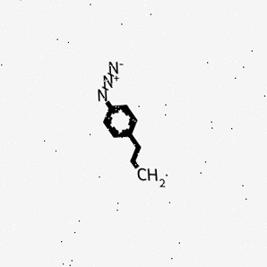 [CH2]CCc1ccc(N=[N+]=[N-])cc1